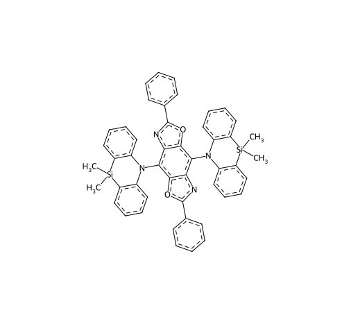 C[Si]1(C)c2ccccc2N(c2c3nc(-c4ccccc4)oc3c(N3c4ccccc4[Si](C)(C)c4ccccc43)c3nc(-c4ccccc4)oc23)c2ccccc21